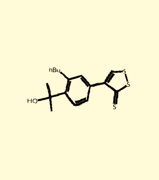 CCCCc1cc(-c2cssc2=S)ccc1C(C)(C)O